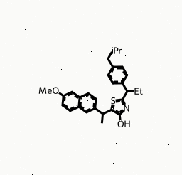 CCC(c1ccc(CC(C)C)cc1)c1nc(O)c(C(C)c2ccc3cc(OC)ccc3c2)s1